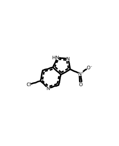 O=[N+]([O-])c1n[nH]c2cc(Cl)ncc12